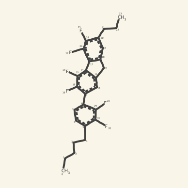 CCCCCc1ccc(-c2cc3c(c(F)c2F)-c2c(cc(CCC)c(F)c2F)C3)c(F)c1F